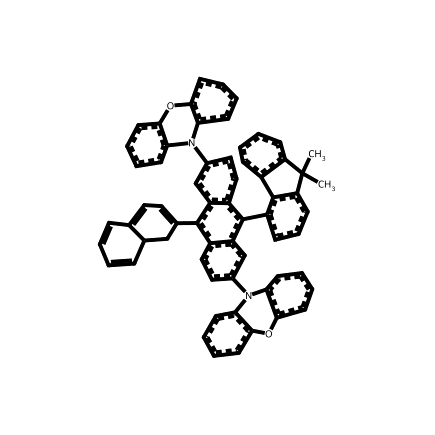 CC1(C)c2ccccc2-c2c(-c3c4ccc(N5c6ccccc6Oc6ccccc65)cc4c(C4=CC=C5C=CC=CC5C4)c4ccc(N5c6ccccc6Oc6ccccc65)cc34)cccc21